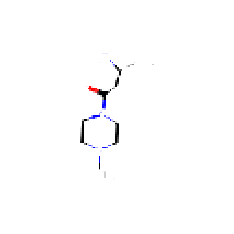 C[C@H](N)CC(=O)N1CCN(C)CC1